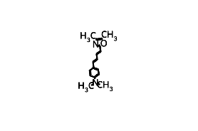 Cc1nc(/C=C/C=C/c2ccc(N(C)C)cc2)oc1C